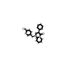 O=c1c(-c2ccccc2)c[n+](Cc2ccc(Cl)nc2)c2ccccn12